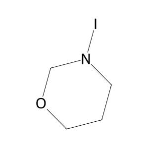 IN1CCCOC1